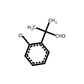 CC(C)(C=O)c1ccccc1Cl